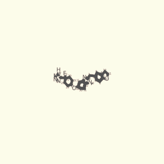 Cn1c(Cc2ccc3c(c2)CCO3)nc2cc(OC3CCC(F)(c4nnn[nH]4)CC3)ccc21